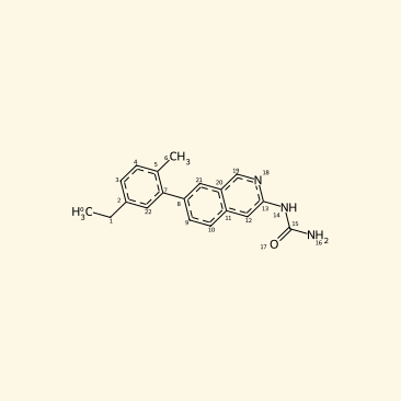 CCc1ccc(C)c(-c2ccc3cc(NC(N)=O)ncc3c2)c1